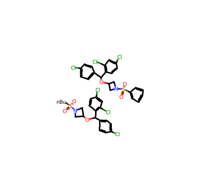 CCCCS(=O)(=O)N1CC(OC(c2ccc(Cl)cc2)c2ccc(Cl)cc2Cl)C1.O=S(=O)(c1ccccc1)N1CC(OC(c2ccc(Cl)cc2)c2ccc(Cl)cc2Cl)C1